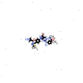 CNC(=O)[C@]1(C)CC[C@@H](Nc2ncc3c(Br)nn(-c4ccc(-c5nnc(C)s5)c(OCC5CNC5)c4)c3n2)C1